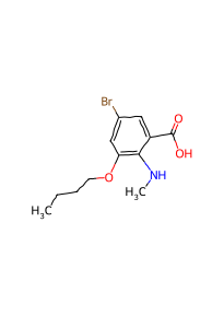 CCCCOc1cc(Br)cc(C(=O)O)c1NC